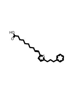 O=C(O)CCCCCCC/C=C/c1ccc(CCCc2ccccc2)s1